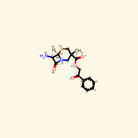 CC1(C(=O)OCC(=O)c2ccccc2)CS[C@@H]2C(N)C(=O)N2C1